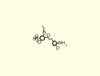 CCCOc1cc2c(cc1C(=O)CCc1ccc(OC)c(N)c1)OCS2(=O)=O